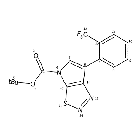 CC(C)(C)OC(=O)n1cc(-c2ccccc2C(F)(F)F)c2nnsc21